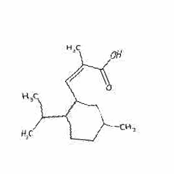 CC(=CC1CC(C)CCC1C(C)C)C(=O)O